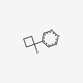 ClC1(c2ccnnc2)CCC1